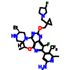 CC[C@@H]1CN2c3nc(OCC4(CN5CC[C@@H](F)C5)CC4)nc4c(F)c(-c5cc(N)nc(C)c5C(F)(F)F)nc(c34)O[C@@H](C)[C@@H]2CN1